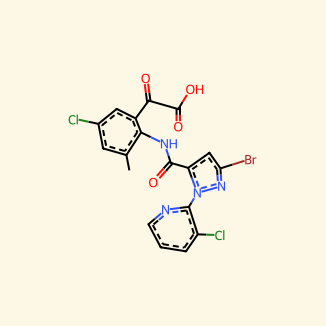 Cc1cc(Cl)cc(C(=O)C(=O)O)c1NC(=O)c1cc(Br)nn1-c1ncccc1Cl